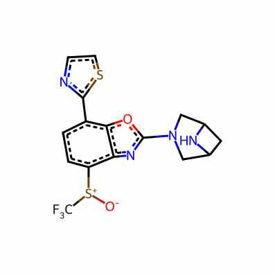 [O-][S+](c1ccc(-c2nccs2)c2oc(N3CC4CC(C3)N4)nc12)C(F)(F)F